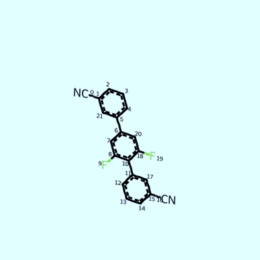 N#Cc1cccc(-c2cc(F)c(-c3cccc(C#N)c3)c(F)c2)c1